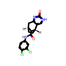 O=C(Nc1ccc(Cl)c(Cl)c1)C1[C@H]2CC[C@H]1c1c[nH]c(=O)nc1C2